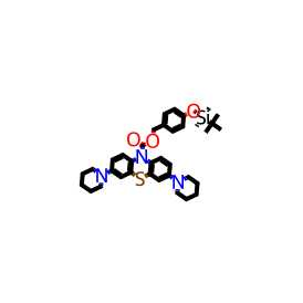 CC(C)(C)[Si](C)(C)Oc1ccc(COC(=O)N2c3ccc(N4CCCCC4)cc3Sc3cc(N4CCCCC4)ccc32)cc1